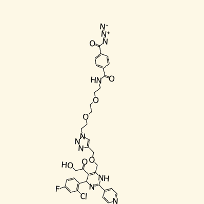 [N-]=[N+]=NC(=O)c1ccc(C(=O)NCCOCCOCCn2cc(COCC3=C(C(=O)CO)C(c4ccc(F)cc4Cl)N=C(c4ccncc4)N3)nn2)cc1